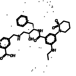 CCNc1cc(C(=O)N[C@@H](Cc2ccccc2)[C@H](O)CNCc2cnc(C)c(C(=O)O)c2)cc(N2CCCCS2(=O)=O)c1